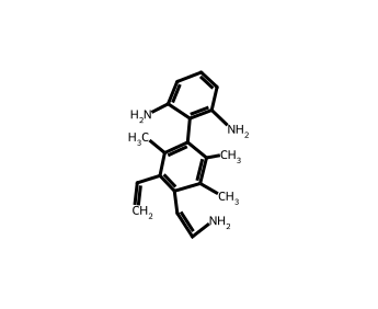 C=Cc1c(C)c(-c2c(N)cccc2N)c(C)c(C)c1/C=C\N